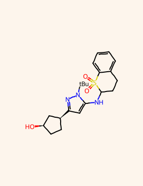 CC(C)(C)n1nc([C@H]2CC[C@@H](O)C2)cc1NC1CCc2ccccc2S1(=O)=O